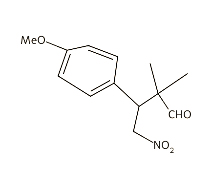 COc1ccc(C(C[N+](=O)[O-])C(C)(C)C=O)cc1